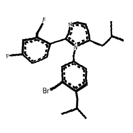 CC(C)Cc1cnc(-c2ccc(F)cc2F)n1-c1ccc(C(C)C)c(Br)c1